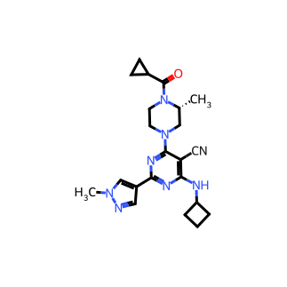 C[C@@H]1CN(c2nc(-c3cnn(C)c3)nc(NC3CCC3)c2C#N)CCN1C(=O)C1CC1